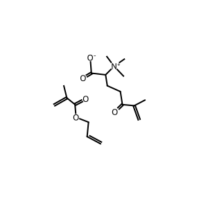 C=C(C)C(=O)CCC(C(=O)[O-])[N+](C)(C)C.C=CCOC(=O)C(=C)C